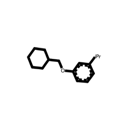 CC(C)c1cccc(OCC2CCCCC2)c1